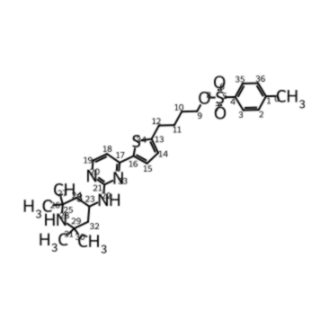 Cc1ccc(S(=O)(=O)OCCCCc2ccc(-c3ccnc(NC4CC(C)(C)NC(C)(C)C4)n3)s2)cc1